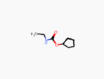 O=C(NCC(F)(F)F)OC1CCCC1